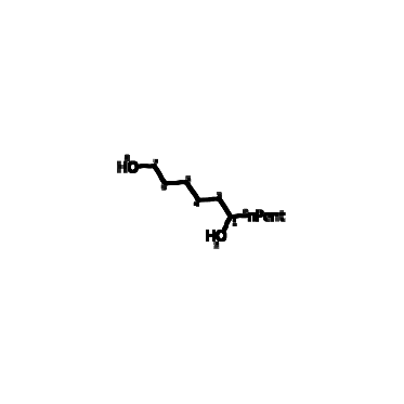 CCCCCC(O)CCCCCO